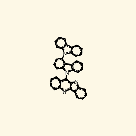 c1ccc2c(-n3c4ccccc4c4c(-n5c6ccccc6c6ccccc65)cccc43)c3sc4ccccc4c3nc2c1